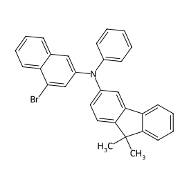 CC1(C)c2ccccc2-c2cc(N(c3ccccc3)c3cc(Br)c4ccccc4c3)ccc21